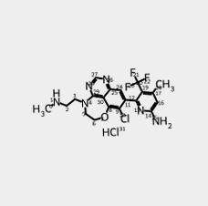 CNCCN1CCOc2c(Cl)c(-c3nc(N)cc(C)c3C(F)(F)F)cc3ncnc1c23.Cl